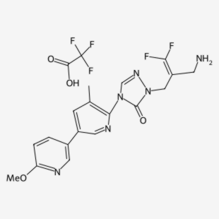 COc1ccc(-c2cnc(-n3cnn(CC(CN)=C(F)F)c3=O)c(C)c2)cn1.O=C(O)C(F)(F)F